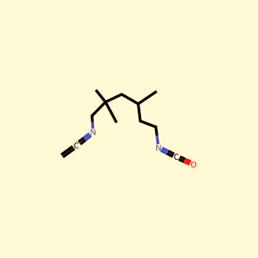 C=C=NCC(C)(C)CC(C)CCN=C=O